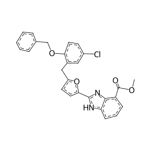 COC(=O)c1cccc2[nH]c(-c3ccc(Cc4cc(Cl)ccc4OCc4ccccc4)o3)nc12